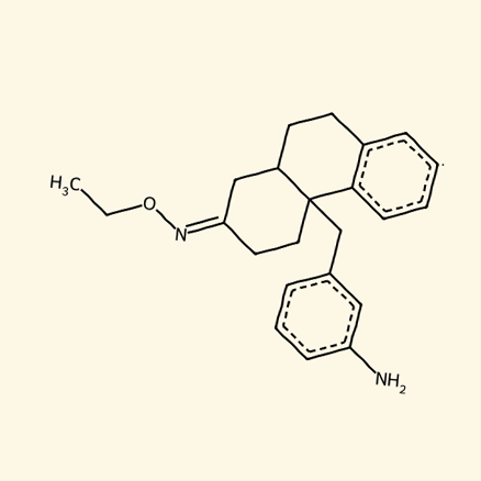 CCON=C1CCC2(Cc3cccc(N)c3)c3cc[c]cc3CCC2C1